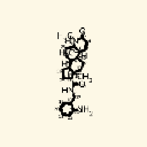 CN1C(=O)C=C[C@]2(C)[C@H]3CC[C@]4(C)[C@@H](C(=O)NCc5ccccc5N)CC[C@H]4[C@@H]3CC[C@@H]12